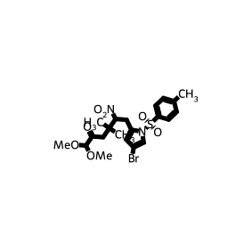 COC(OC)C(=O)CC(C)(C)C(Cc1cc(Br)cn1S(=O)(=O)c1ccc(C)cc1)[N+](=O)[O-]